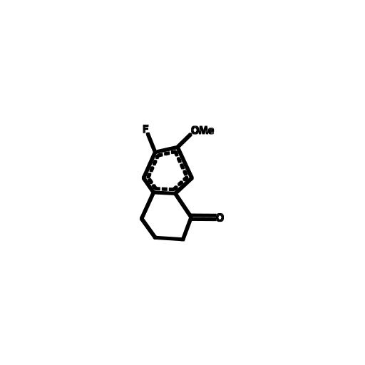 COc1cc2c(cc1F)CCCC2=O